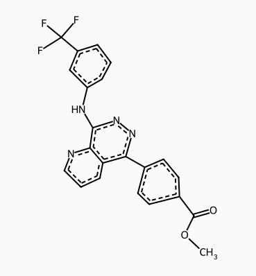 COC(=O)c1ccc(-c2nnc(Nc3cccc(C(F)(F)F)c3)c3ncccc23)cc1